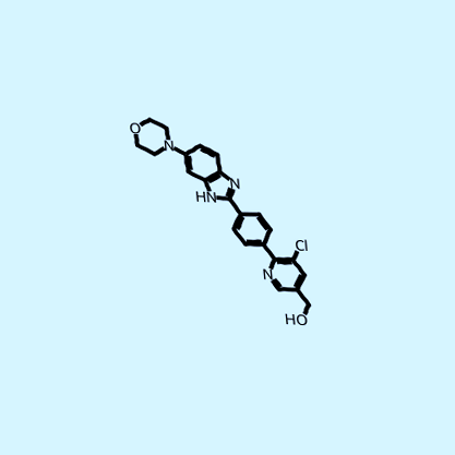 OCc1cnc(-c2ccc(-c3nc4ccc(N5CCOCC5)cc4[nH]3)cc2)c(Cl)c1